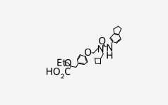 CCOC(Cc1ccc(OCCN(CC2CCC2)C(=O)Nc2ccc3c(c2)CCC3)cc1)C(=O)O